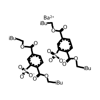 CCC(C)COC(=O)c1ccc(C(=O)OCC(C)CC)c(S(=O)(=O)[O-])c1.CCC(C)COC(=O)c1ccc(C(=O)OCC(C)CC)c(S(=O)(=O)[O-])c1.[Ba+2]